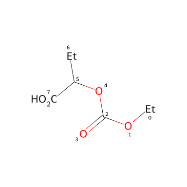 CCOC(=O)OC(CC)C(=O)O